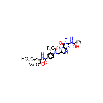 COC(=O)[C@H](CCC(=O)O)NC(=O)c1ccc(N(Cc2cnc3nc(NC(O)C(C)C)[nH]c(=O)c3n2)C(=O)C(F)(F)F)cc1